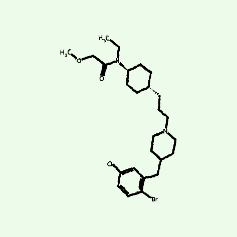 CCN(C(=O)COC)[C@H]1CC[C@H](CCCN2CCC(Cc3cc(Cl)ccc3Br)CC2)CC1